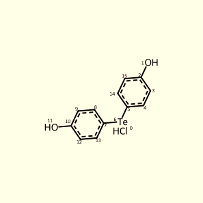 Cl.Oc1ccc([Te]c2ccc(O)cc2)cc1